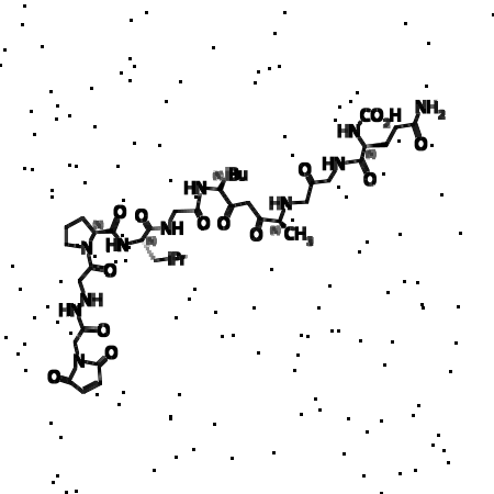 CC[C@H](C)C(NC(=O)CNC(=O)[C@H](CC(C)C)NC(=O)[C@@H]1CCCN1C(=O)CNNC(=O)CN1C(=O)C=CC1=O)C(=O)CC(=O)[C@H](C)NCC(=O)CNC(=O)[C@H](CCC(N)=O)NC(=O)O